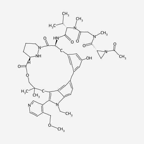 CCn1c(-c2cnccc2COC)c2c3cc(ccc31)-c1cc(O)cc(c1)C[C@H](NC(=O)[C@H](C(C)C)N(C)C(=O)CN(C)C(=O)[C@H]1CN1C(C)=O)C(=O)N1CCC[C@H](N1)C(=O)OCC(C)(C)C2